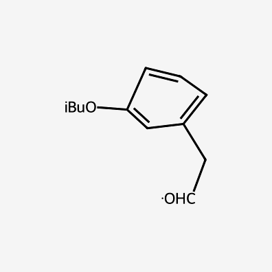 CC(C)COc1cccc(C[C]=O)c1